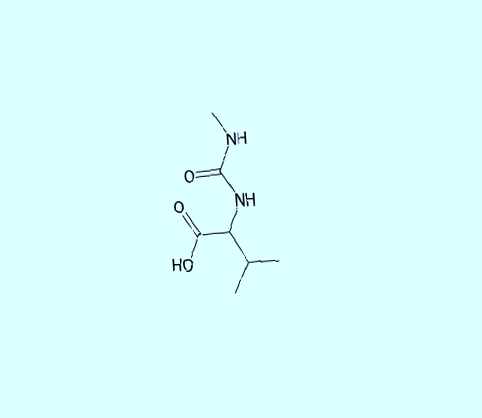 CNC(=O)NC(C(=O)O)C(C)C